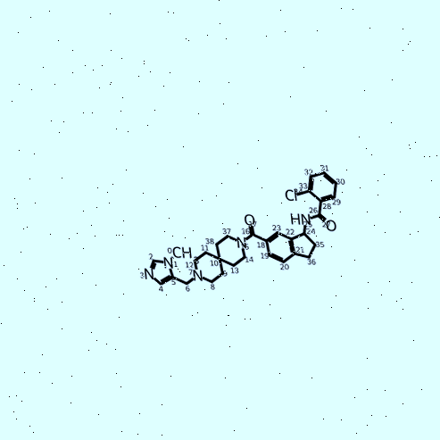 Cn1cncc1CN1CCC2(CC1)CCN(C(=O)c1ccc3c(c1)C(NC(=O)c1ccccc1Cl)CC3)CC2